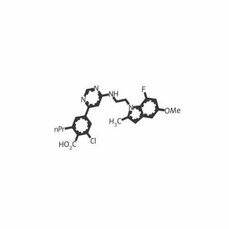 CCCc1cc(-c2cc(NCCn3c(C)cc4cc(OC)cc(F)c43)ncn2)cc(Cl)c1C(=O)O